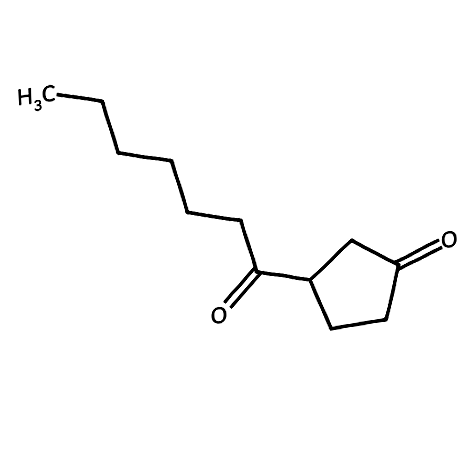 CCCCCCC(=O)C1CCC(=O)C1